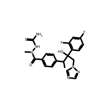 CC(c1ccc(C(=O)N(C)NC(N)=S)cc1)C(O)(Cn1cncn1)c1ccc(F)cc1F